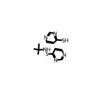 CC(C)(C)NSc1ccncn1.Sc1ccncn1